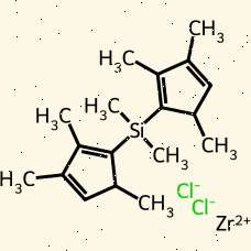 CC1=CC(C)C([Si](C)(C)C2=C(C)C(C)=CC2C)=C1C.[Cl-].[Cl-].[Zr+2]